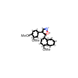 COc1ccc(-c2cnoc2-c2ccc(OC)c3ccccc23)cc1OC